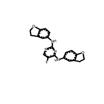 Fc1cnc(Nc2ccc3c(c2)CCO3)nc1Nc1ccc2c(c1)CCO2